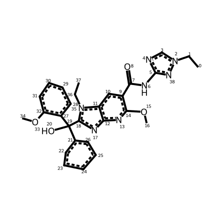 CCn1cnc(NC(=O)c2cc3c(nc2OC)nc(C(O)(c2ccccc2)c2ccccc2OC)n3CC)n1